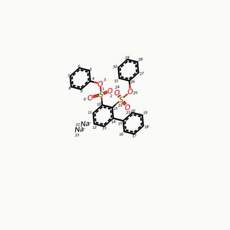 O=S(=O)(Oc1ccccc1)c1cccc(-c2ccccc2)c1S(=O)(=O)Oc1ccccc1.[Na].[Na]